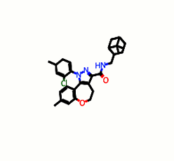 Cc1ccc2c(c1)OCCc1c(C(=O)NCC3CCC4CC3C4(C)C)nn(C3=CCC(C)C=C3Cl)c1-2